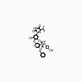 N#C[C@H]1C[C@H](NS(=O)(=O)c2cc(Oc3c(Cl)cc(-n4nc(C(F)F)c(=O)[nH]c4=O)cc3Cl)ncc2OCc2ccccc2)C1